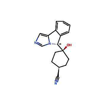 N#C[C@H]1CC[C@](O)([C@H]2c3ccccc3-c3cncn32)CC1